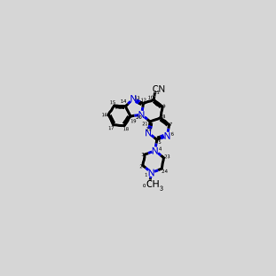 CN1CCN(c2ncc3cc(C#N)c4nc5ccccc5n4c3n2)CC1